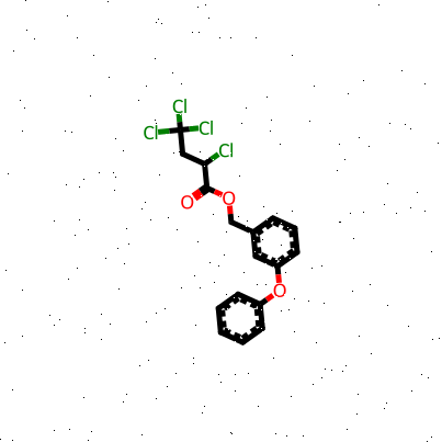 O=C(OCc1cccc(Oc2ccccc2)c1)C(Cl)CC(Cl)(Cl)Cl